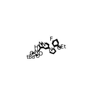 CCOc1ccc(F)cc1[C@H]1CCCN1c1ccn2ncc(C(=O)NS(=O)(=O)C(C)(C)C)c2c1